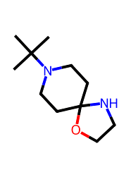 CC(C)(C)N1CCC2(CC1)NCCO2